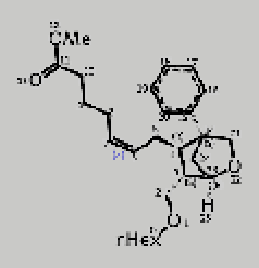 CCCCCCOC[C@@H]1[C@@H](C/C=C\CCCC(=O)OC)[C@@]2(c3ccccc3)CO[C@@H]1C2